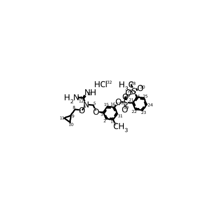 Cc1cc(OCN(OCC2CC2)C(=N)N)cc(OS(=O)(=O)c2ccccc2S(C)(=O)=O)c1.Cl